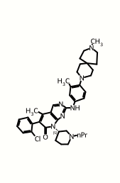 CCCN1CCC[C@H](n2c(=O)c(-c3ccccc3Cl)c(C)c3cnc(Nc4ccc(N5CCC6(CCN(C)CC6)CC5)c(C)c4)nc32)C1